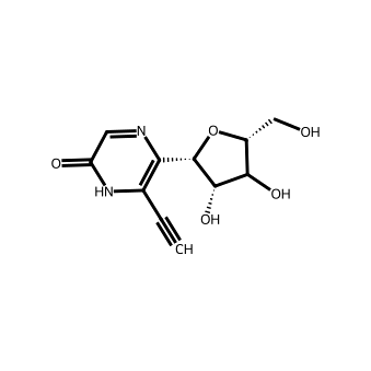 C#Cc1[nH]c(=O)cnc1[C@@H]1O[C@H](CO)C(O)[C@@H]1O